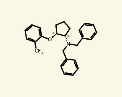 FC(F)(F)c1ccccc1O[C@H]1CCC[C@@H]1N(Cc1ccccc1)Cc1ccccc1